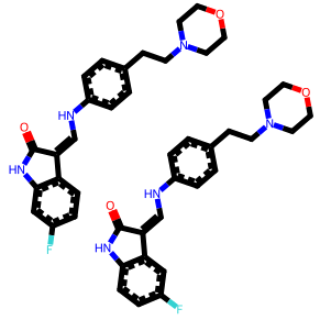 O=C1Nc2cc(F)ccc2C1=CNc1ccc(CCN2CCOCC2)cc1.O=C1Nc2ccc(F)cc2C1=CNc1ccc(CCN2CCOCC2)cc1